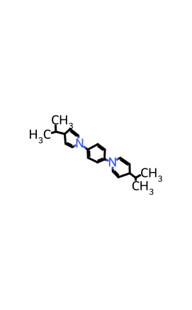 CC(C)C1C=CN(c2ccc(N3C=CC(C(C)C)C=C3)cc2)C=C1